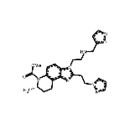 COC(=O)N1c2ccc3c(nc(CCn4cccn4)n3CCNCc3ccno3)c2CC[C@@H]1C